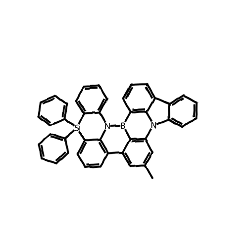 Cc1cc2c3c(c1)-n1c4ccccc4c4cccc(c41)B3N1c3ccccc3[Si](c3ccccc3)(c3ccccc3)c3cccc-2c31